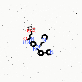 CC(C)(C)OC(=O)CCc1nc2cc3c(cc2[nH]c1=O)nc(-c1cccc(-c2ccncc2)c1)n3CCCN1CCCCC1